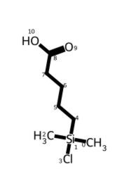 C[Si](C)(Cl)CCCCC(=O)O